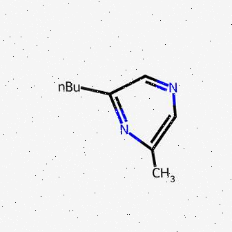 CCCCc1cncc(C)n1